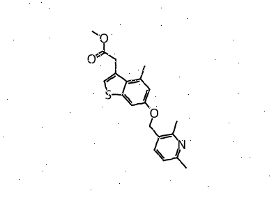 COC(=O)Cc1csc2cc(OCc3ccc(C)nc3C)cc(C)c12